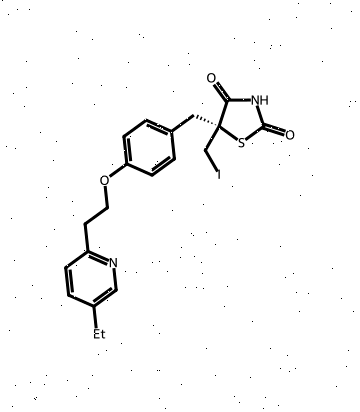 CCc1ccc(CCOc2ccc(C[C@@]3(CI)SC(=O)NC3=O)cc2)nc1